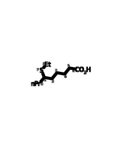 CCCC(CCCCC(=O)O)SCC